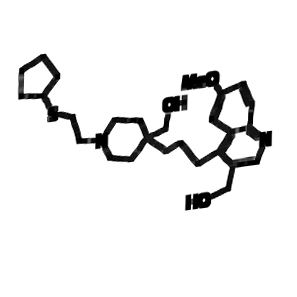 COc1ccc2ncc(CO)c(CCCC3(CO)CCN(CCSC4CCCC4)CC3)c2c1